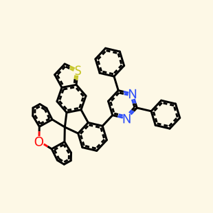 c1ccc(-c2cc(-c3cccc4c3-c3cc5sccc5cc3C43c4ccccc4Oc4ccccc43)nc(-c3ccccc3)n2)cc1